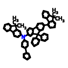 CC1(C)c2ccccc2-c2ccc(N(c3ccc(-c4ccccc4)cc3)c3ccc4c(c3)C(c3ccccc3)(c3ccccc3)c3cc(-c5cccc6c5-c5ccccc5C6(C)C)ccc3-4)cc21